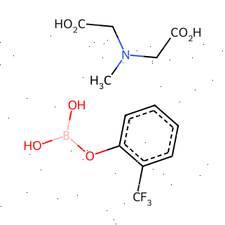 CN(CC(=O)O)CC(=O)O.OB(O)Oc1ccccc1C(F)(F)F